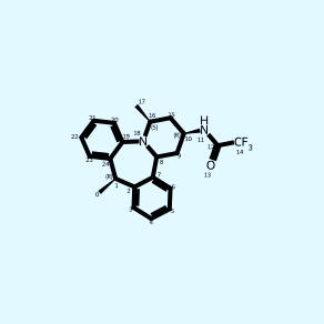 C[C@@H]1c2ccccc2C2C[C@H](NC(=O)C(F)(F)F)C[C@H](C)N2c2ccccc21